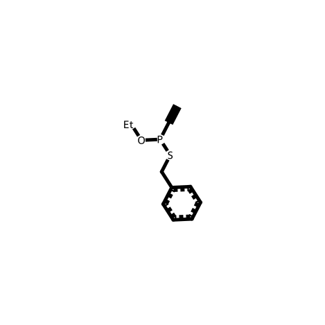 C#CP(OCC)SCc1ccccc1